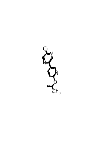 C[C@@H](Oc1ccc(-c2cnc(Cl)cn2)cn1)C(F)(F)F